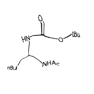 [CH2]CCCC(NC(C)=O)NC(=O)OC(C)(C)C